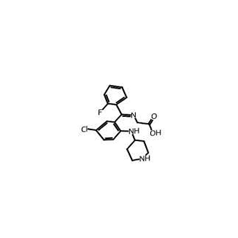 O=C(O)CN=C(c1ccccc1F)c1cc(Cl)ccc1NC1CCNCC1